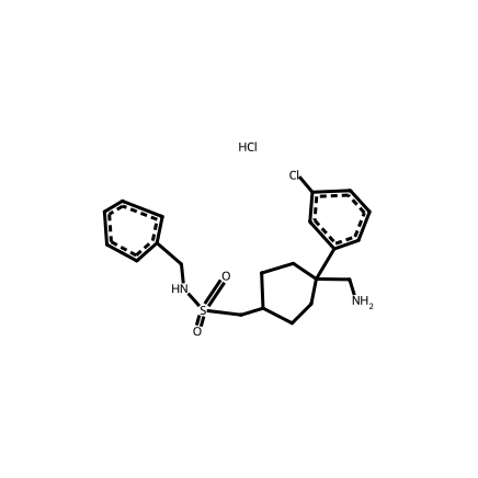 Cl.NCC1(c2cccc(Cl)c2)CCC(CS(=O)(=O)NCc2ccccc2)CC1